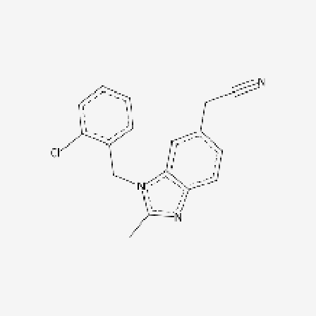 Cc1nc2ccc(CC#N)cc2n1Cc1ccccc1Cl